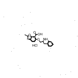 Cc1nc2ccc(OCC(N)Cc3ccccc3)c(C(=O)O)c2o1.Cl